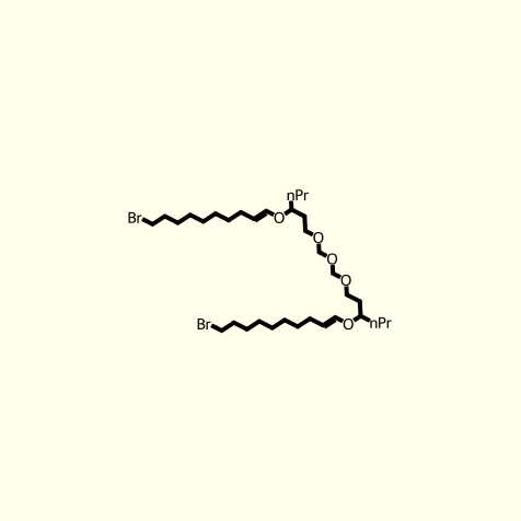 CCCC(CCOCOCOCCC(CCC)OC=CCCCCCCCCBr)OC=CCCCCCCCCBr